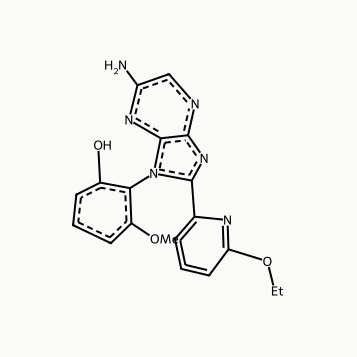 CCOC1=NC(c2nc3ncc(N)nc3n2-c2c(O)cccc2OC)=C=C=C1